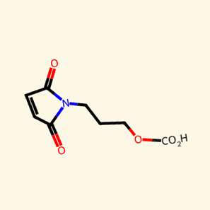 O=C(O)OCCCN1C(=O)C=CC1=O